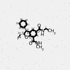 CCNC(=O)c1cc(C(=O)NC)c2c(c1)[C@H](c1ccccc1)[C@@H](CF)O2